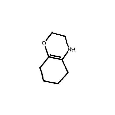 [CH]1CNC2=C(CCCC2)O1